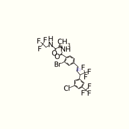 C[C@@H](NC(=O)c1ccc(/C=C/C(c2cc(Cl)cc(C(F)(F)F)c2)C(F)(F)F)cc1Br)C(=O)NCC(F)(F)F